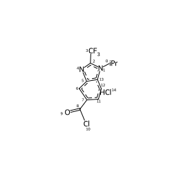 CC(C)n1c(C(F)(F)F)nc2cc(C(=O)Cl)ccc21.Cl